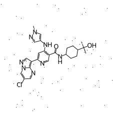 Cn1cc(Nc2cc(-c3cnn4cc(Cl)cnc34)ncc2C(=O)NC2CCC(C(C)(C)O)CC2)cn1